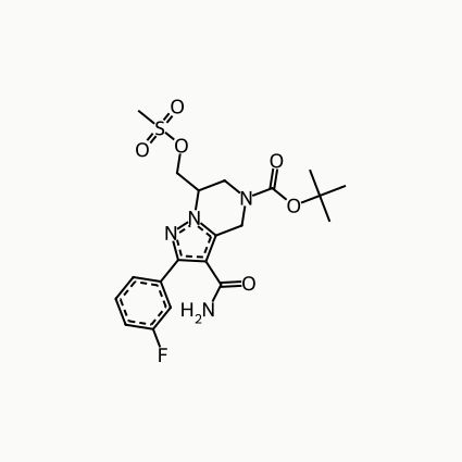 CC(C)(C)OC(=O)N1Cc2c(C(N)=O)c(-c3cccc(F)c3)nn2C(COS(C)(=O)=O)C1